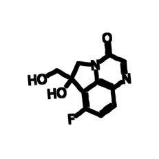 O=c1cnc2ccc(F)c3c2n1CC3(O)CO